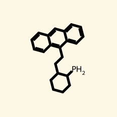 PC1CCCCC1CCc1c2ccccc2cc2ccccc12